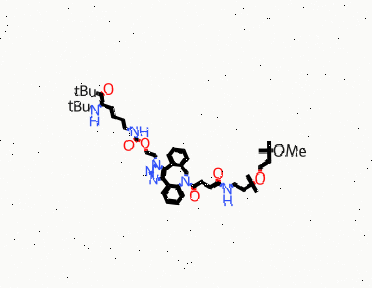 COC(C)(C)CCOC(C)(C)CCNC(=O)CCC(=O)N1Cc2ccccc2-c2c(nnn2CCOC(=O)NCCCCC(NC(C)(C)C)C(=O)C(C)(C)C)-c2ccccc21